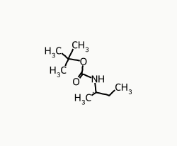 CC[C](C)NC(=O)OC(C)(C)C